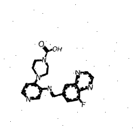 O=C(O)N1CCN(c2ccncc2N=Cc2cc(F)c3nccnc3c2)CC1